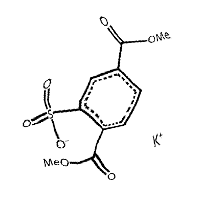 COC(=O)c1ccc(C(=O)OC)c(S(=O)(=O)[O-])c1.[K+]